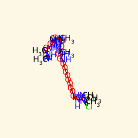 CC(=N)N1C(=N)[C@H](CC(=O)Nc2ccc(OCCOCCOCCOCCOCCOCCOCCOCCOCCNC(=O)CCNC(=O)c3nc(NC(=O)CCNC(=O)c4c(NC(=O)c5nc(NC(=O)CCNC(=O)c6cc(NC(=O)c7nccn7C)cn6C)cn5C)ccn4C)cn3C)cc2)N=C(c2ccc(Cl)cc2)c2c1sc(C)c2C